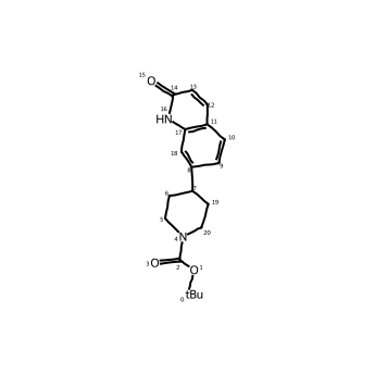 CC(C)(C)OC(=O)N1CCC(c2ccc3ccc(=O)[nH]c3c2)CC1